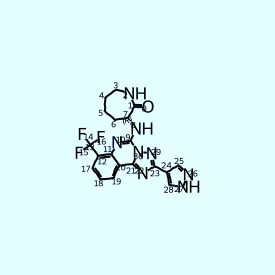 O=C1NCCCC[C@H]1Nc1nc2c(C(F)(F)F)cccc2c2nc(-c3cn[nH]c3)nn12